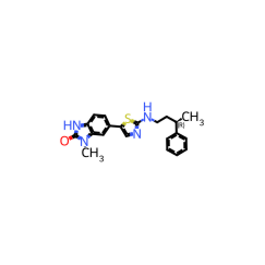 C[C@H](CCNc1ncc(-c2ccc3[nH]c(=O)n(C)c3c2)s1)c1ccccc1